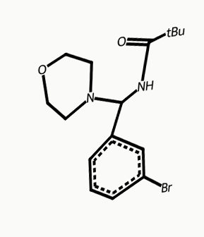 CC(C)(C)C(=O)NC(c1cccc(Br)c1)N1CCOCC1